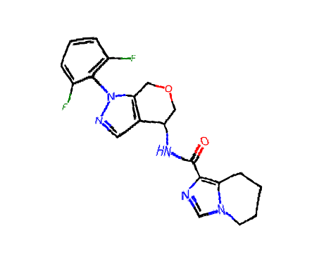 O=C(NC1COCc2c1cnn2-c1c(F)cccc1F)c1ncn2c1CCCC2